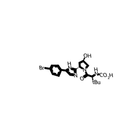 CC(C)(C)[C@H](NC(=O)O)C(=O)N1C[C@H](O)C[C@H]1c1ncc(-c2ccc(Br)cc2)[nH]1